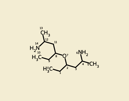 CCC(CC(C)N)OC(CC)CC(C)N